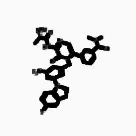 CN[C@@H](C)C(=O)Nc1ncc(-c2cccc(C(=O)N(C)C)c2)n(Cc2cc(N3CCc4cc(F)ccc43)cc(C(F)(F)F)c2)c1=O